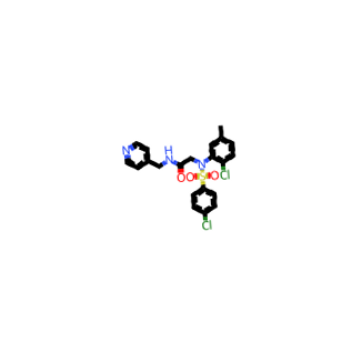 Cc1ccc(Cl)c(N(CC(=O)NCc2ccncc2)S(=O)(=O)c2ccc(Cl)cc2)c1